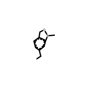 CB1OCc2ccc(CI)cc21